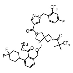 CC(C)(C)OC(=O)c1c(COC[C@@H]2CN(C(=O)c3cnn(Cc4ccc(F)cc4C(F)(F)F)c3)CC23CN(C(=O)C(C)(C)C(F)(F)F)C3)cccc1C1CCC(F)(F)CC1